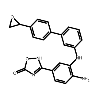 Nc1ccc(-c2nc(=O)o[nH]2)cc1Nc1cccc(-c2ccc(C3CO3)cc2)c1